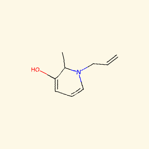 C=CCN1C=CC=C(O)C1C